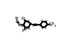 Fc1cc(C#Cc2ccc(C(F)(F)F)cc2)cc(F)c1N=C=S